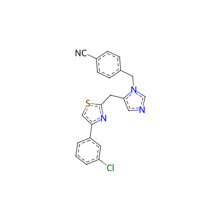 N#Cc1ccc(Cn2cncc2Cc2nc(-c3cccc(Cl)c3)cs2)cc1